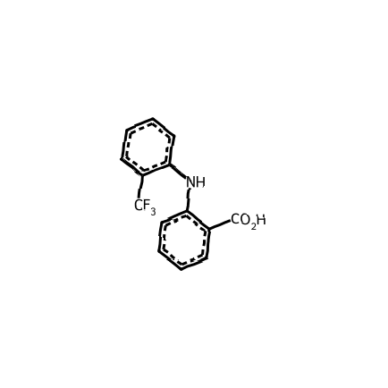 O=C(O)c1ccccc1Nc1ccccc1C(F)(F)F